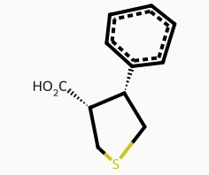 O=C(O)[C@H]1CSC[C@H]1c1ccccc1